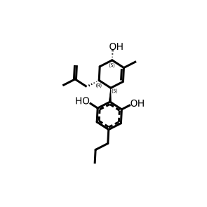 C=C(C)C[C@@H]1C[C@H](O)C(C)=C[C@H]1c1c(O)cc(CCC)cc1O